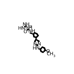 COc1ccc(Nc2ncc(-c3cccc(CNC(=O)NC(=N)N)c3)cn2)cc1